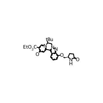 CCOC(=O)c1cn2c(cc1=O)-c1c3cccc(OC[C@H]4CCC(=O)N4)c3nn1CC2C(C)(C)C